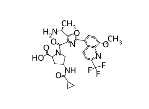 COc1ccc(-c2nc(C(=O)N3C[C@H](NC(=O)C4CC4)C[C@H]3C(=O)O)c([C@H](C)N)o2)c2ccc(C(F)(F)F)nc12